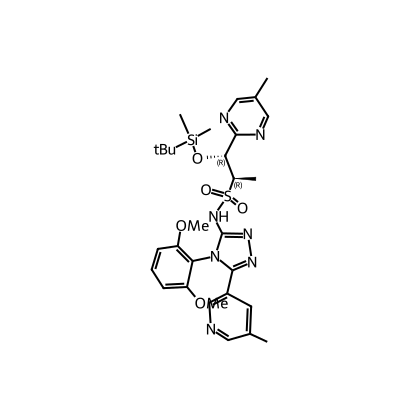 COc1cccc(OC)c1-n1c(NS(=O)(=O)[C@H](C)[C@H](O[Si](C)(C)C(C)(C)C)c2ncc(C)cn2)nnc1-c1cncc(C)c1